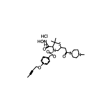 CC#CCOc1ccc(S(=O)(=O)N2CC(CC(=O)N3CCN(C)CC3)SC(C)(C)C2C(=O)NO)cc1.Cl